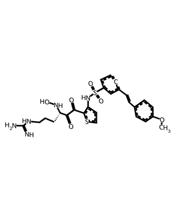 COc1ccc(/C=C/c2cccc(S(=O)(=O)Nc3ccsc3C(=O)C(=O)[C@H](CCCNC(=N)N)NO)c2)cc1